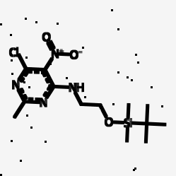 Cc1nc(Cl)c([N+](=O)[O-])c(NCCO[Si](C)(C)C(C)(C)C)n1